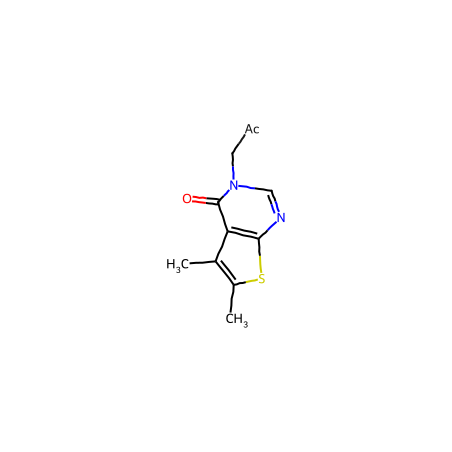 CC(=O)Cn1cnc2sc(C)c(C)c2c1=O